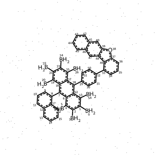 Bc1c(B)c(B)c2c(-c3cccc4ccccc34)c3c(B)c(B)c(B)c(B)c3c(-c3ccc(-c4cccc5oc6cc7ccccc7cc6c45)cc3)c2c1B